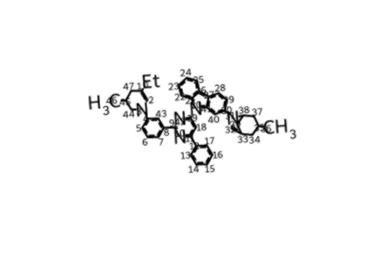 CCC1=CN(c2cccc(-c3nc(-c4ccccc4)cc(-n4c5ccccc5c5ccc(N6C=C7CC(C)CC6C7)cc54)n3)c2)CC(C)C1